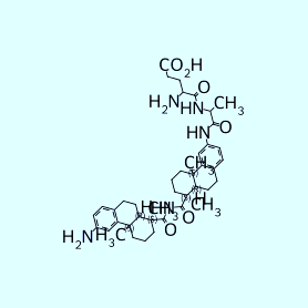 CC(NC(=O)C(N)CCC(=O)O)C(=O)Nc1ccc2c(c1)[C@@]1(C)CCC[C@](C)(C(=O)NC(=O)[C@@]3(C)CCC[C@]4(C)c5cc(N)ccc5CC[C@@H]34)[C@@H]1CC2